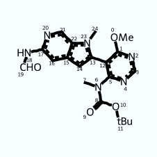 COc1ncnc(N(C)C(=O)OC(C)(C)C)c1-c1cc2cc(NC=O)ncc2n1C